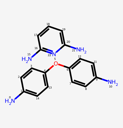 Nc1ccc(Oc2ccc(N)cc2)cc1.Nc1cccc(N)n1